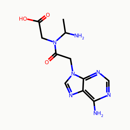 CC(N)N(CC(=O)O)C(=O)Cn1cnc2c(N)ncnc21